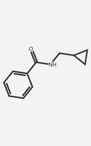 O=C(NCC1CC1)c1ccccc1